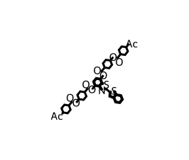 CC(=O)C1CCC(C(=O)OC2CCC(C(=O)Oc3ccc(OC(=O)C4CCC(OC(=O)C5CCC(C(C)=O)CC5)CC4)c4sc(-c5cc6ccccc6s5)nc34)CC2)CC1